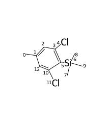 Cc1cc(Cl)c([Si](C)(C)C)c(Cl)c1